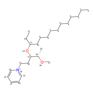 CCCCCCCCCCCC(CC)OC([CH]C[n+]1ccccc1)[C@H](C)OC